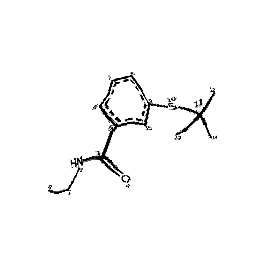 CCNC(=O)c1cccc(SC(C)(C)C)c1